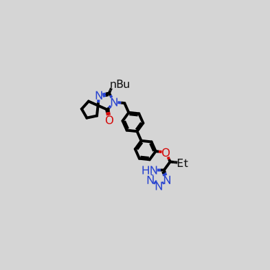 CCCCC1=NC2(CCCC2)C(=O)N1Cc1ccc(-c2cccc(OC(CC)c3nnn[nH]3)c2)cc1